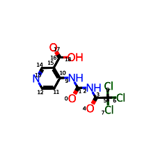 O=C(NC(=O)C(Cl)(Cl)Cl)Nc1ccncc1C(=O)O